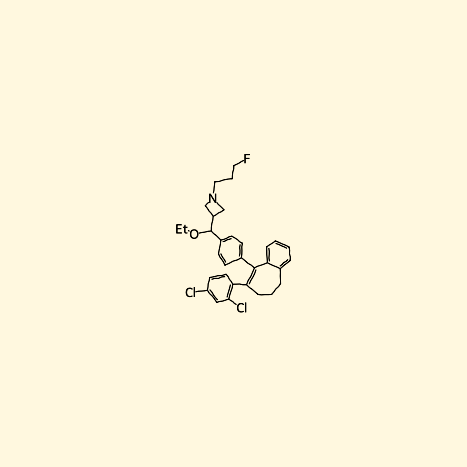 CCOC(c1ccc(C2=C(c3ccc(Cl)cc3Cl)CCCc3ccccc32)cc1)C1CN(CCCF)C1